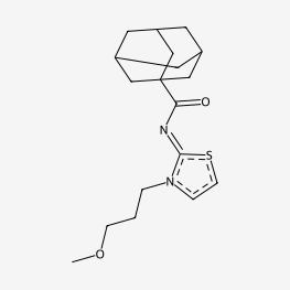 COCCCn1ccsc1=NC(=O)C12CC3CC(CC(C3)C1)C2